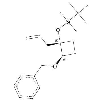 C=CC[C@@]1(O[Si](C)(C)C(C)(C)C)CC[C@H]1OCc1ccccc1